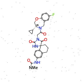 CNC(=O)Nc1ccc2c(c1)CCCC21NC(=O)N(CC(=O)N2Cc3cc(F)ccc3OC[C@H]2C2CC2)C1=O